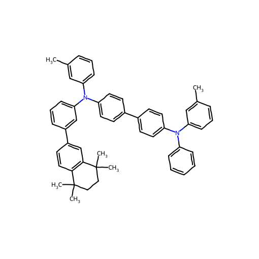 Cc1cccc(N(c2ccccc2)c2ccc(-c3ccc(N(c4cccc(C)c4)c4cccc(-c5ccc6c(c5)C(C)(C)CCC6(C)C)c4)cc3)cc2)c1